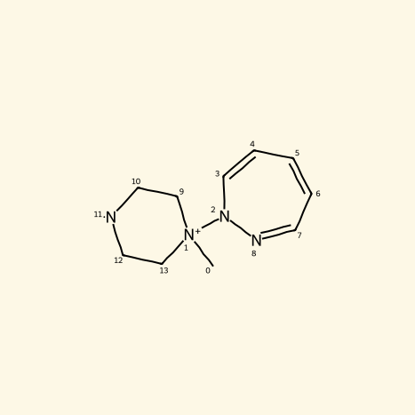 C[N+]1(N2C=CC=CC=N2)CC[N]CC1